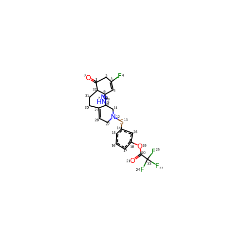 O=C1CC(F)=CC23N=CNC24CN(Sc2cccc(OC(=O)C(F)(F)F)c2)CC=C4CCC13